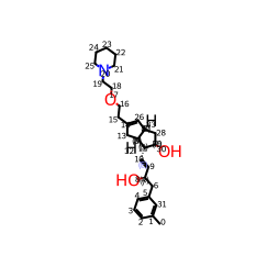 Cc1cccc(C[C@@H](O)/C=C/[C@@H]2[C@H]3CC(CCOCCN4CCCCC4)=C[C@H]3C[C@H]2O)c1